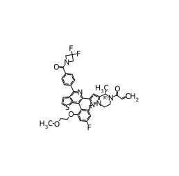 C=CC(=O)N1CCn2nc(-c3nc(-c4ccc(C(=O)N5CC(F)(F)C5)cc4)c4ccsc4c3-c3c(F)cc(F)cc3OCCOC)cc2[C@H]1C